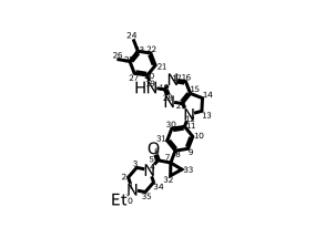 CCN1CCN(C(=O)C2(c3ccc(N4CCc5cnc(Nc6ccc(C)c(C)c6)nc54)cc3)CC2)CC1